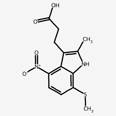 CSc1ccc([N+](=O)[O-])c2c(CCC(=O)O)c(C)[nH]c12